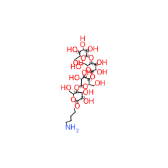 NCCCCCO[C@@H]1OC(CO)[C@@H](O[C@H]2OC(CO)[C@H](O[C@H]3OC(CO)[C@@H](O[C@@H]4OC(CO)[C@@H](O)C(O)[C@@H]4O)[C@H](O)C3O)[C@H](O)C2O)C(O)[C@@H]1O